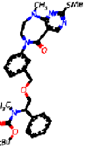 CSc1ncc2c(n1)N(C)CCN(c1cccc(COCC(c3ccccc3)N(C)C(=O)OC(C)(C)C)c1)C2=O